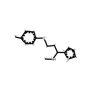 CNC(CCOc1ccc(C)cc1)c1cccs1